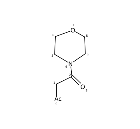 CC(=O)CC(=O)N1CCOCC1